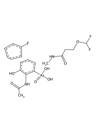 CC(=O)Nc1c(O)cccc1[As](=O)(O)O.CNC(=O)CCOC(F)F.Fc1ccccc1